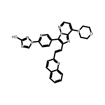 Oc1ncn(-c2ccc(-c3c(C=Cc4ccc5ccccc5n4)nc4c(N5CCOCC5)ccnn34)cn2)n1